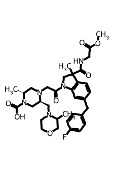 COC(=O)CNC(=O)C1(C)CN(C(=O)CN2C[C@@H](C)N(C(=O)O)C[C@@H]2CN2CCOCC2C)c2cc(Cc3ccc(F)cc3)ccc21